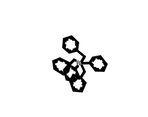 c1ccc([CH2][Bi]([CH2]c2ccccc2)([CH2]c2ccccc2)([c]2ccccc2)[c]2ccccc2)cc1